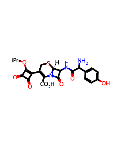 CC(C)Oc1c(C2=C(C(=O)O)N3C(=O)C(NC(=O)C(N)c4ccc(O)cc4)[C@@H]3SC2)c(=O)c1=O